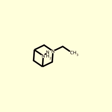 CCN1CC2CC(C1)N2N